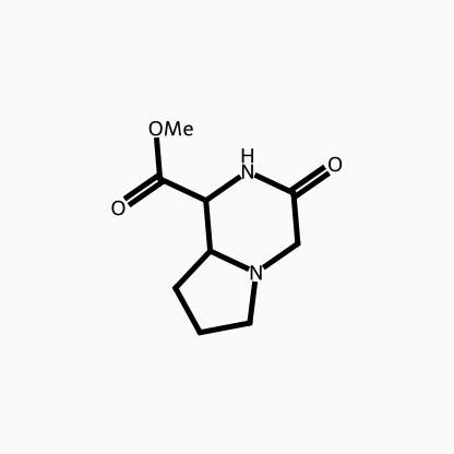 COC(=O)C1NC(=O)CN2CCCC12